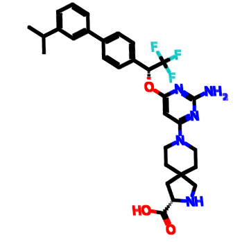 CC(C)c1cccc(-c2ccc([C@@H](Oc3cc(N4CCC5(CC4)CN[C@H](C(=O)O)C5)nc(N)n3)C(F)(F)F)cc2)c1